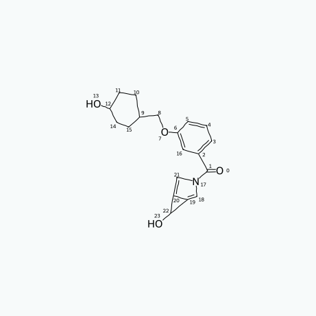 O=C(c1cccc(OCC2CCC(O)CC2)c1)n1cc2c(c1)C2O